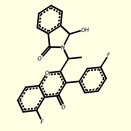 CC(c1oc2cccc(F)c2c(=O)c1-c1cccc(F)c1)N1C(=O)c2ccccc2C1O